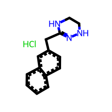 Cl.c1ccc2cc(CC3=NNCCN3)ccc2c1